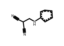 N#CC(C#N)CNc1ccccc1